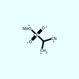 COS(=O)(=O)C(C)C#N